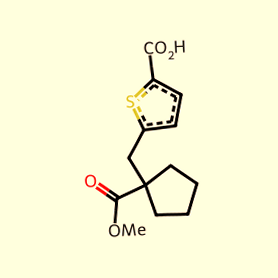 COC(=O)C1(Cc2ccc(C(=O)O)s2)CCCC1